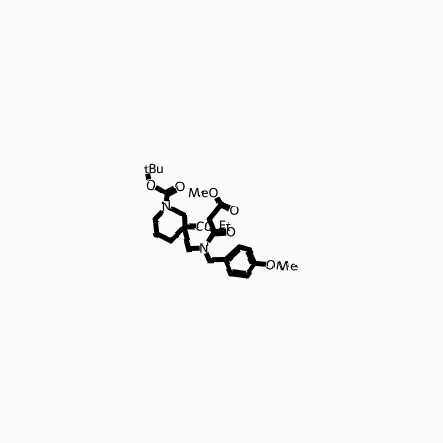 CCOC(=O)C1(CN(Cc2ccc(OC)cc2)C(=O)CC(=O)OC)CCCN(C(=O)OC(C)(C)C)C1